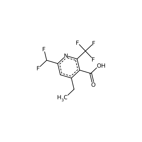 CCc1cc(C(F)F)nc(C(F)(F)F)c1C(=O)O